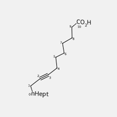 CCCCCCCCC#CCCCCCCC(=O)O